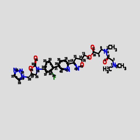 CN(C)CC(=O)N(C)CCC(=O)OC[C@@H]1CC(c2ccc(-c3ccc(N4C[C@H](Cn5ccnn5)OC4=O)cc3F)cn2)=NO1